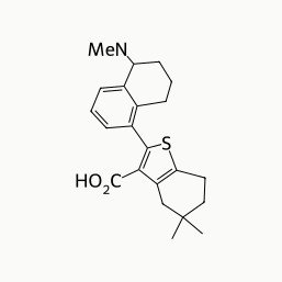 CNC1CCCc2c(-c3sc4c(c3C(=O)O)CC(C)(C)CC4)cccc21